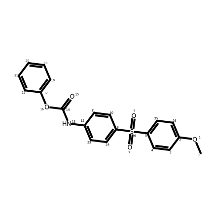 COc1ccc(S(=O)(=O)c2ccc(NC(=O)Oc3ccccc3)cc2)cc1